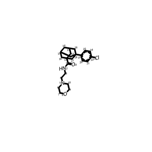 O=C(NCCN1CCOCC1)C12CC3CC(C1)CC(c1ccc(Cl)cc1)(C3)C2